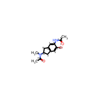 CC(=O)Nc1cc2c(cc1Br)CC(N(C)C(C)=O)C2